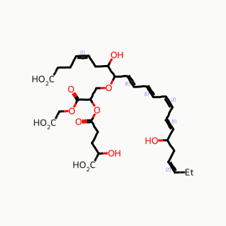 CC/C=C\CC(O)/C=C/C=C\C=C\C=C\C(OCC(OC(=O)CCC(O)C(=O)O)C(=O)OCC(=O)O)C(O)C/C=C\CCC(=O)O